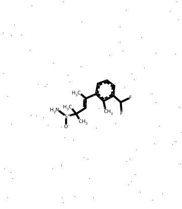 CC(=CC(C)(C)[S+](N)[O-])c1cccc(C(F)F)c1C